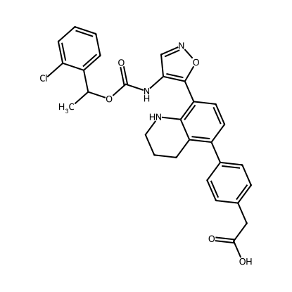 CC(OC(=O)Nc1cnoc1-c1ccc(-c2ccc(CC(=O)O)cc2)c2c1NCCC2)c1ccccc1Cl